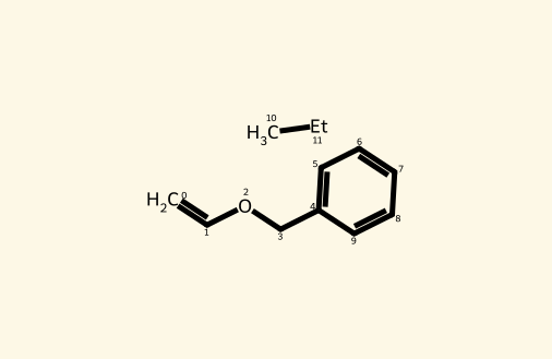 C=COCc1ccccc1.CCC